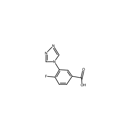 O=C(O)c1ccc(F)c(-n2cnnc2)c1